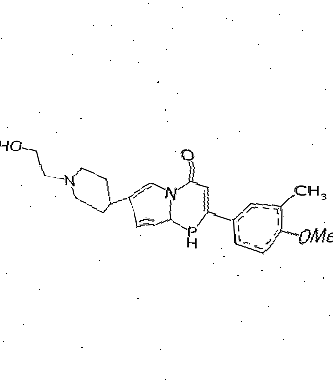 COc1ccc(C2=CC(=O)N3C=C(C4CCN(CCO)CC4)C=CC3P2)cc1C